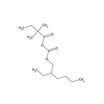 CCCCC(CC)COC(=O)OC(=O)C(C)(C)CC